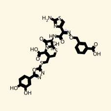 Nc1nc(/C(=N/OCc2cccc(C(=O)O)c2)C(=O)N[C@@H]2C(=O)N3C(C(=O)O)=C(CSc4nnc(-c5ccc(O)c(O)c5)o4)CS[C@H]23)cs1